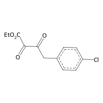 CCOC(=O)C(=O)C(=O)Cc1ccc(Cl)cc1